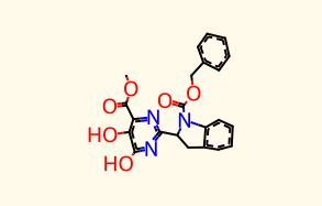 COC(=O)c1nc(C2Cc3ccccc3N2C(=O)OCc2ccccc2)nc(O)c1O